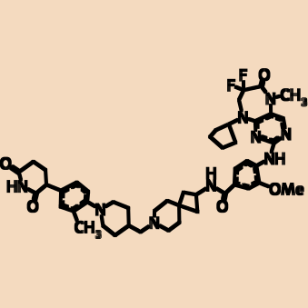 COc1cc(C(=O)NC2CC3(CCN(CC4CCN(c5ccc(C6CCC(=O)NC6=O)cc5C)CC4)CC3)C2)ccc1Nc1ncc2c(n1)N(C1CCCC1)CC(F)(F)C(=O)N2C